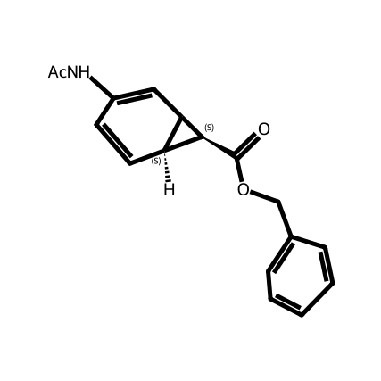 CC(=O)NC1=CC2[C@@H](C(=O)OCc3ccccc3)[C@H]2C=C1